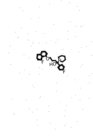 OC(CCCOc1cccc2cccc(F)c12)(c1ccc(F)cc1)N1CCCCC1